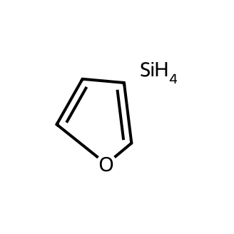 [SiH4].c1ccoc1